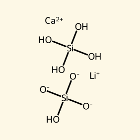 O[Si](O)(O)O.[Ca+2].[Li+].[O-][Si]([O-])([O-])O